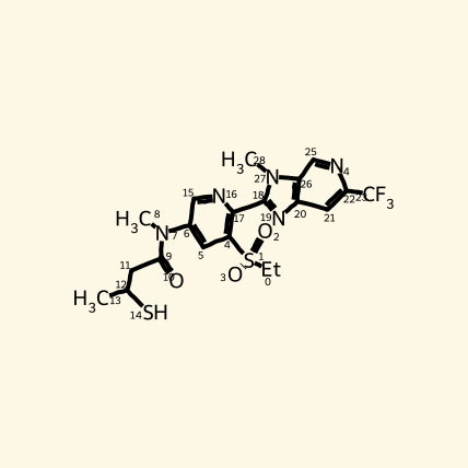 CCS(=O)(=O)c1cc(N(C)C(=O)CC(C)S)cnc1-c1nc2cc(C(F)(F)F)ncc2n1C